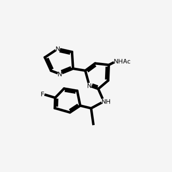 CC(=O)Nc1cc(NC(C)c2ccc(F)cc2)nc(-c2cnccn2)c1